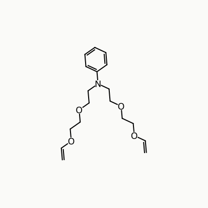 C=COCCOCCN(CCOCCOC=C)c1ccccc1